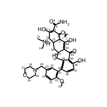 C=C[C@@]12C(=O)C(C(N)=O)=C(O)[C@@H](N(C)C)[C@@H]1C[C@@H]1Cc3c(-c4cc(CN5CCOCC5)ccc4OC)ccc(O)c3C(=O)C1=C2O